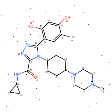 CCN1CCN(C2CCC(n3c(C(=O)NC4CC4)nnc3-c3cc(C(C)C)c(O)cc3O)CC2)CC1